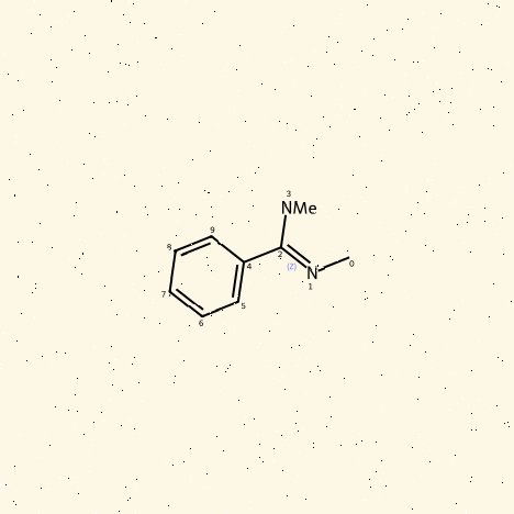 C/N=C(\NC)c1cc[c]cc1